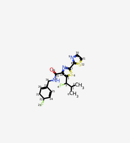 CC(C)C(F)c1sc(-c2nccs2)nc1C(=O)NCC1=CCC(F)C=C1